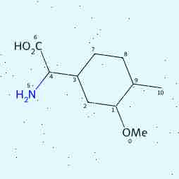 COC1CC(C(N)C(=O)O)CCC1C